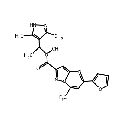 Cc1n[nH]c(C)c1C(C)N(C)C(=O)c1cc2nc(-c3ccco3)cc(C(F)(F)F)n2n1